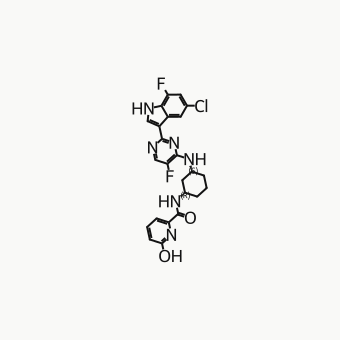 O=C(N[C@@H]1CCC[C@H](Nc2nc(-c3c[nH]c4c(F)cc(Cl)cc34)ncc2F)C1)c1cccc(O)n1